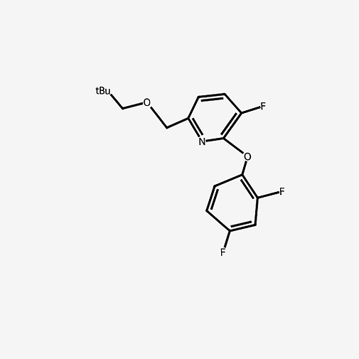 CC(C)(C)COCc1ccc(F)c(Oc2ccc(F)cc2F)n1